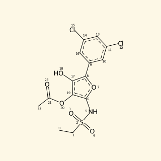 CCS(=O)(=O)Nc1oc(-c2cc(Cl)cc(Cl)c2)c(O)c1OC(C)=O